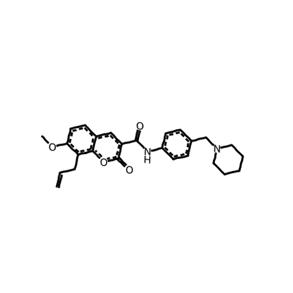 C=CCc1c(OC)ccc2cc(C(=O)Nc3ccc(CN4CCCCC4)cc3)c(=O)oc12